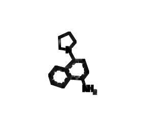 Nc1ccc(N2CCCC2)c2ccccc12